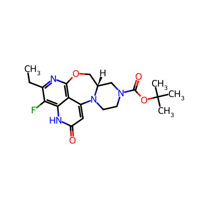 CCc1nc2c3c(cc(=O)[nH]c3c1F)N1CCN(C(=O)OC(C)(C)C)C[C@H]1CO2